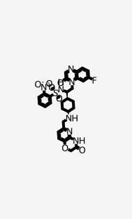 O=C1COc2ccc(CN[C@H]3CC[C@H](C(Cn4c(=O)cnc5ccc(F)cc54)NS(=O)(=O)c4ccccc4[N+](=O)[O-])CC3)nc2N1